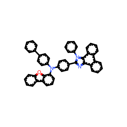 c1ccc(-c2ccc(N(c3ccc(-c4nc5c6ccccc6c6ccccc6c5n4-c4ccccc4)cc3)c3cccc4c3oc3ccccc34)cc2)cc1